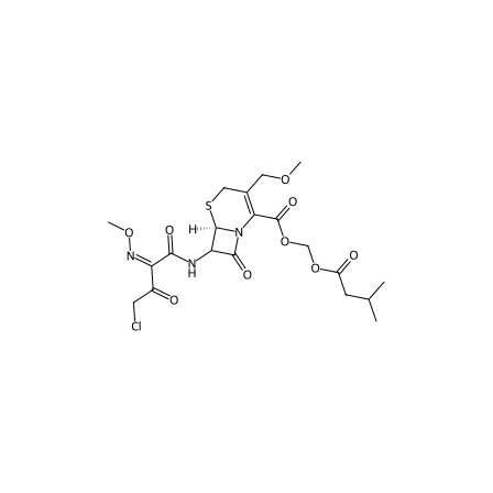 COCC1=C(C(=O)OCOC(=O)CC(C)C)N2C(=O)C(NC(=O)/C(=N\OC)C(=O)CCl)[C@H]2SC1